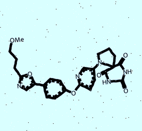 COCCCc1ncc(-c2ccc(Oc3ccc(N4CCCC45C(=O)NC(=O)NC5=O)cn3)cc2)o1